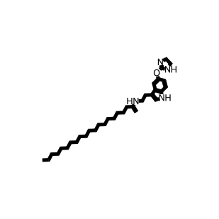 C=C(CCCCCCCCCCCCCCCCCCC)NCCc1c[nH]c2ccc(OC3=NCCN3)cc12